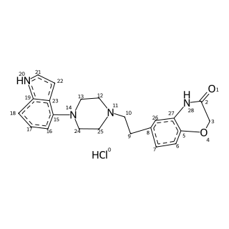 Cl.O=C1COc2ccc(CCN3CCN(c4cccc5[nH]ccc45)CC3)cc2N1